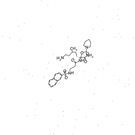 CC(CCN)CC[C@](NC(=O)CCNS(=O)(=O)c1ccc2ccccc2c1)(OC(=O)N1CCCCC1)C(N)=O